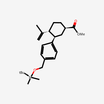 C=C(C)[C@@H]1CC[C@@H](C(=O)OC)C[C@H]1c1ccc(CO[Si](C)(C)C(C)(C)C)cc1